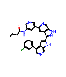 CCCC(=O)Nc1cncc(-c2cc3c(-c4cc5c(-c6cccc(F)c6)cncc5[nH]4)n[nH]c3cn2)c1